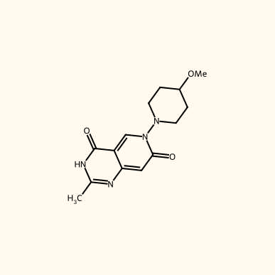 COC1CCN(n2cc3c(=O)[nH]c(C)nc3cc2=O)CC1